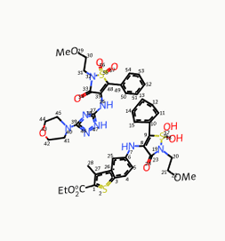 CCOC(=O)c1sc2ccc(NC3=C(c4ccccc4)S(O)(O)N(CCOC)C3=O)cc2c1C.COCCN1C(=O)C(Nc2nc(N3CCOCC3)n[nH]2)=C(c2ccccc2)S1(=O)=O